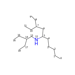 CCCCCC(CC(CC)CC)NCC(CC)CC